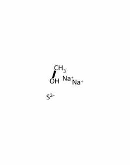 CO.[Na+].[Na+].[S-2]